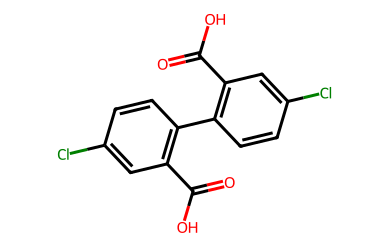 O=C(O)c1cc(Cl)ccc1-c1ccc(Cl)cc1C(=O)O